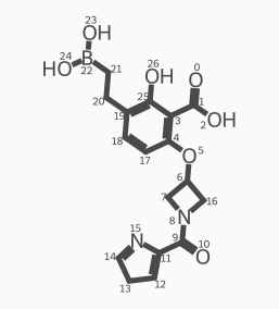 O=C(O)c1c(OC2CN(C(=O)C3=CCC=N3)C2)ccc(CCB(O)O)c1O